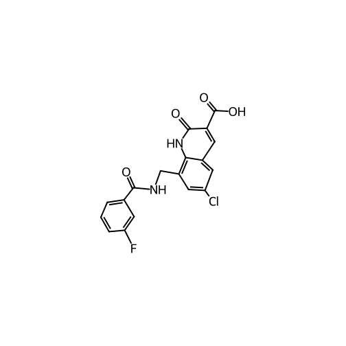 O=C(NCc1cc(Cl)cc2cc(C(=O)O)c(=O)[nH]c12)c1cccc(F)c1